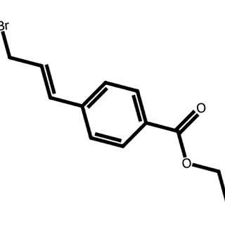 CCOC(=O)c1ccc(C=CCBr)cc1